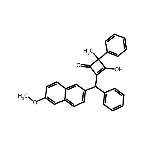 COc1ccc2cc(C(C3=C(O)C(C)(c4ccccc4)C3=O)c3ccccc3)ccc2c1